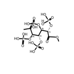 COC(=O)[C@@H](OP(=O)(O)O)[C@H](OP(=O)(O)O)[C@H](OP(=O)(O)O)[C@@H](OP(=O)(O)O)C(C)=O